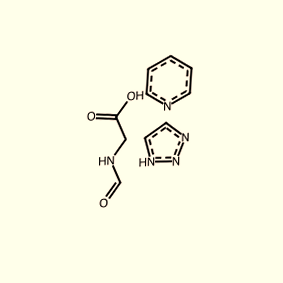 O=CNCC(=O)O.c1c[nH]nn1.c1ccncc1